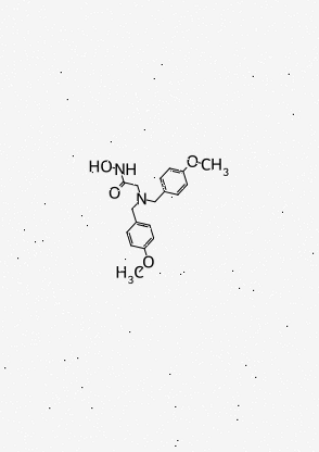 COc1ccc(CN(CC(=O)NO)Cc2ccc(OC)cc2)cc1